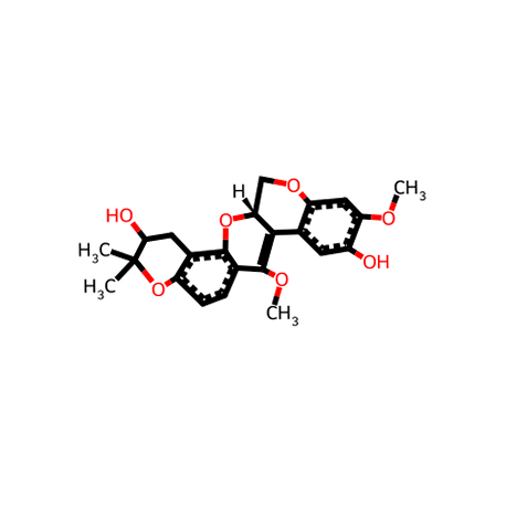 COC1=C2c3cc(O)c(OC)cc3OC[C@H]2Oc2c1ccc1c2CC(O)C(C)(C)O1